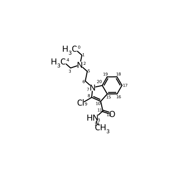 CCN(CC)CCn1c(Cl)c(C(=O)NC)c2ccccc21